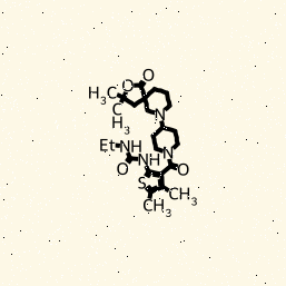 CCNC(=O)Nc1sc(C)c(C)c1C(=O)N1CCC(N2CCCC3(C2)CC(C)(C)OC3=O)CC1